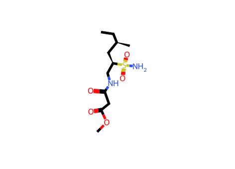 CC[C@@H](C)C[C@H](CNC(=O)CC(=O)OC)S(N)(=O)=O